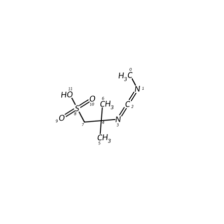 CN=C=NC(C)(C)CS(=O)(=O)O